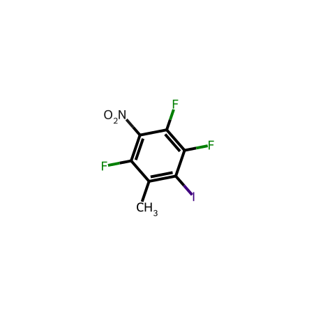 Cc1c(F)c([N+](=O)[O-])c(F)c(F)c1I